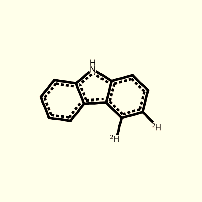 [2H]c1ccc2[nH]c3ccccc3c2c1[2H]